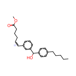 CCCCCc1ccc(C(O)c2cccc(/C=C\CCCC(=O)OC)c2)cc1